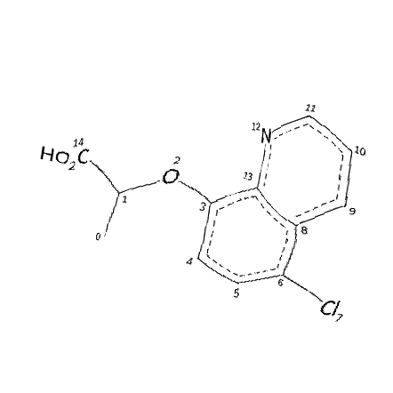 CC(Oc1ccc(Cl)c2cccnc12)C(=O)O